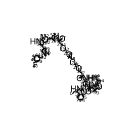 CC[C@@H](NC(=O)[C@@H]1C[C@H](NC(=O)CCOCCOCCOCCOCCC(=O)n2cc(-c3cnc4[nH]cc(-c5cnn(Cc6cccc(F)c6)c5)c4c3)cn2)CN1C(=O)[C@@H](NC(=O)[C@H](C)NC)C(C)(C)C)c1ccccc1